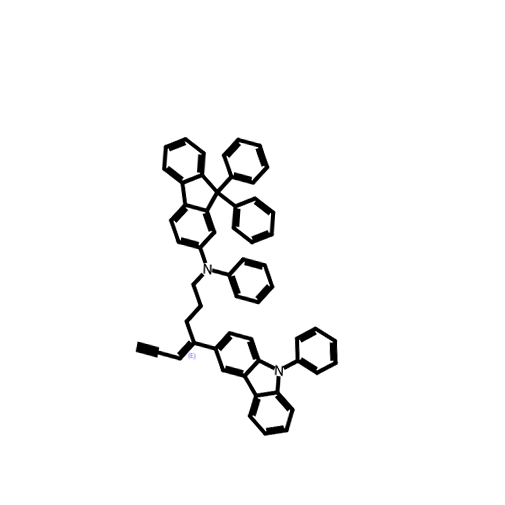 C#C/C=C(\CCCN(c1ccccc1)c1ccc2c(c1)C(c1ccccc1)(c1ccccc1)c1ccccc1-2)c1ccc2c(c1)c1ccccc1n2-c1ccccc1